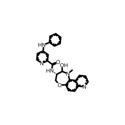 CN1c2c(ccc3ncccc23)OC[C@H](NC(=O)c2cc(Nc3ccccc3)ccn2)C1O